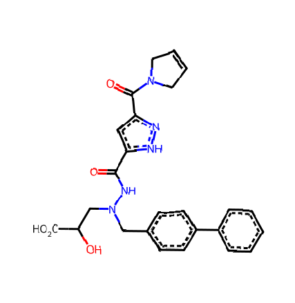 O=C(NN(Cc1ccc(-c2ccccc2)cc1)CC(O)C(=O)O)c1cc(C(=O)N2CC=CC2)n[nH]1